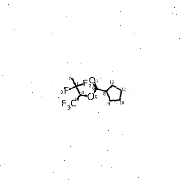 CC(F)(F)C(OC(=O)C1CCCC1)C(F)(F)F